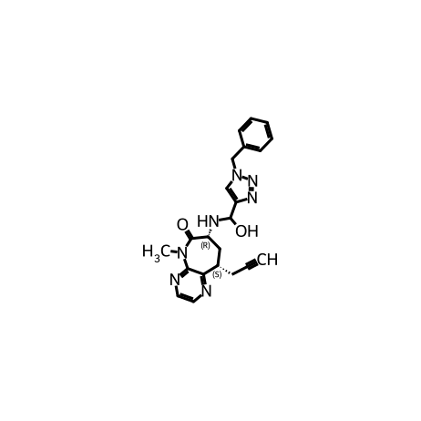 C#CC[C@H]1C[C@@H](NC(O)c2cn(Cc3ccccc3)nn2)C(=O)N(C)c2nccnc21